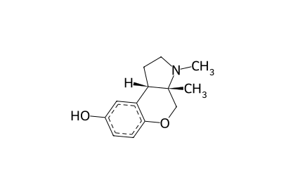 CN1CC[C@H]2c3cc(O)ccc3OC[C@]21C